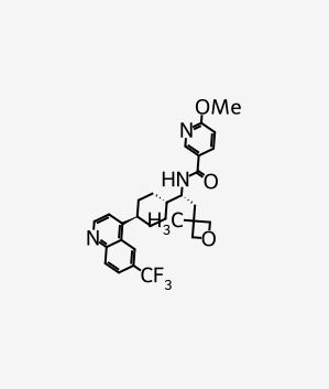 COc1ccc(C(=O)N[C@H](CC2(C)COC2)[C@H]2CC[C@H](c3ccnc4ccc(C(F)(F)F)cc43)CC2)cn1